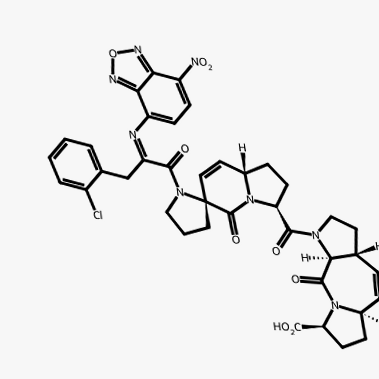 O=C(O)[C@@H]1CC[C@@H]2C=C[C@H]3CCN(C(=O)[C@@H]4CC[C@H]5C=C[C@]6(CCCN6C(=O)/C(Cc6ccccc6Cl)=N\c6ccc([N+](=O)[O-])c7nonc67)C(=O)N54)[C@@H]3C(=O)N21